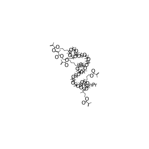 C=C(C)C(=O)OCCCC[Si]1(C)O[Si](C)(C)O[Si](C)(O[Si](C)(C)O[Si](C)(C)O[Si](C)(C)O[Si]2(C)O[Si](C)(C)O[Si](C)(O[Si](C)(C)O[Si](C)(C)O[Si](C)(C)O[Si]3(C)O[SiH](C(C)CCOC(=O)C(=C)C)O[Si](C)(CCC)O[Si](C)(CCCOC(=O)C(=C)C)O3)O[Si](C)(CCCCOC(=O)C(=C)C)O2)O[Si](C)(CCCCOC(=O)C(=C)C)O1